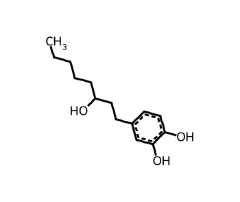 CCCCCC(O)CCc1ccc(O)c(O)c1